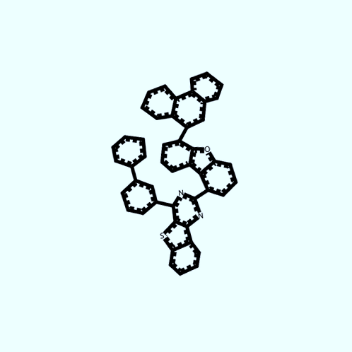 c1ccc(-c2cccc(-c3nc(-c4cccc5oc6c(-c7cc8ccccc8c8ccccc78)cccc6c45)nc4c3sc3ccccc34)c2)cc1